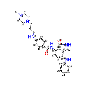 CN1CCN(CCCNc2ccc(C(=O)Nc3ccc(Nc4ccccc4)c4c3C(=O)NC4)cc2)CC1